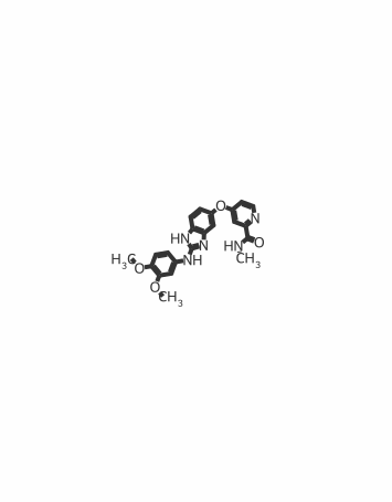 CNC(=O)c1cc(Oc2ccc3[nH]c(Nc4ccc(OC)c(OC)c4)nc3c2)ccn1